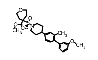 COC(=O)C1(S(=O)(=O)N2CCC(c3ccc(-c4cccc(OC)c4)c(C)c3)CC2)CCOCC1